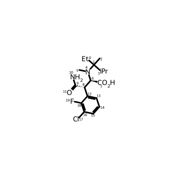 CCC(C)(C(C)C)N(C)[C@@H](C(=O)O)[C@@H](C(N)=O)c1cccc(Cl)c1F